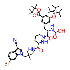 CC(C)[Si](Oc1cc(CC(NC(=O)O)C(=O)N2CCCC(C(=O)NCC(C)(C)Cn3cc(C#N)c4ccc(Br)cc43)N2)cc(B2OC(C)(C)C(C)(C)O2)c1)(C(C)C)C(C)C